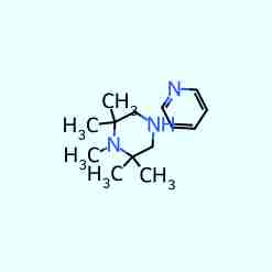 CN1C(C)(C)CNCC1(C)C.c1ccncc1